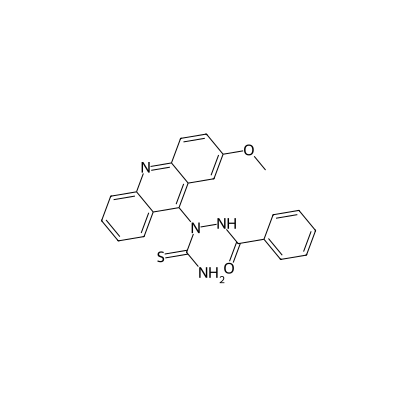 COc1ccc2nc3ccccc3c(N(NC(=O)c3ccccc3)C(N)=S)c2c1